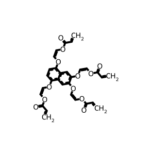 C=CC(=O)O/C=C\Oc1cc2c(O/C=C\OC(=O)C=C)ccc(O/C=C\OC(=O)C=C)c2cc1O/C=C\OC(=O)C=C